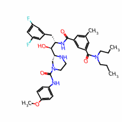 CCCN(CCC)C(=O)c1cc(C)cc(C(=O)N[C@@H](Cc2cc(F)cc(F)c2)[C@H](O)[C@H]2CN(C(=O)Nc3ccc(OC)cc3)CCN2)c1